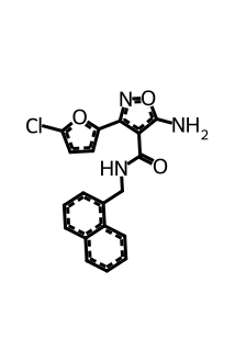 Nc1onc(-c2ccc(Cl)o2)c1C(=O)NCc1cccc2ccccc12